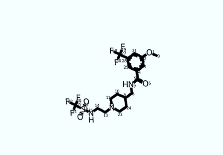 COc1cc(C(=O)NCC2CCN(CCNS(=O)(=O)C(F)(F)F)CC2)cc(C(F)(F)F)c1